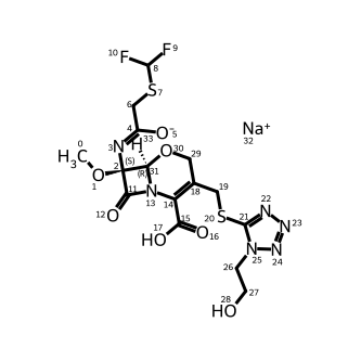 CO[C@]1(N=C([O-])CSC(F)F)C(=O)N2C(C(=O)O)=C(CSc3nnnn3CCO)CO[C@@H]21.[Na+]